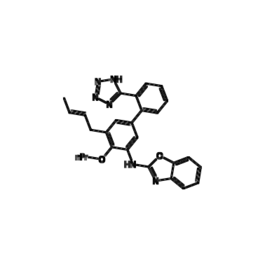 CC=CCc1cc(-c2ccccc2-c2nnn[nH]2)cc(Nc2nc3ccccc3o2)c1OCCC